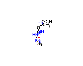 CCc1nn2cc(CC(=O)Nc3cc(C4CCC(CC[C@H](C)NC(=O)O)C4)[nH]n3)nc2s1